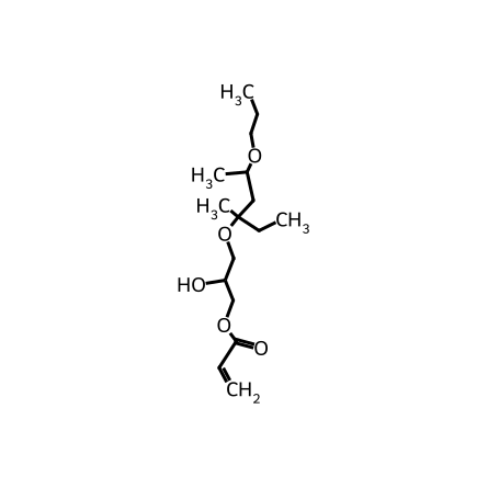 C=CC(=O)OCC(O)COC(C)(CC)CC(C)OCCC